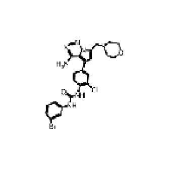 Nc1ncnn2c(CN3CCOCC3)cc(-c3ccc(NC(=O)Nc4cccc(Br)c4)c(Cl)c3)c12